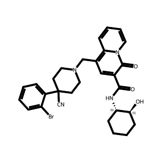 N#CC1(c2ccccc2Br)CCN(Cc2cc(C(=O)N[C@H]3CCCC[C@@H]3O)c(=O)n3ccccc23)CC1